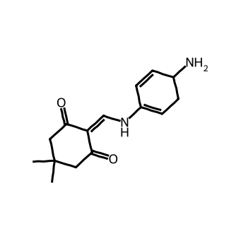 CC1(C)CC(=O)C(=CNC2=CCC(N)C=C2)C(=O)C1